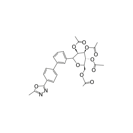 CC(=O)OC[C@H]1OC(c2cccc(-c3ccc(-c4nnc(C)o4)cc3)c2)[C@@H](OC(C)=O)[C@@H](OC(C)=O)[C@@H]1OC(C)=O